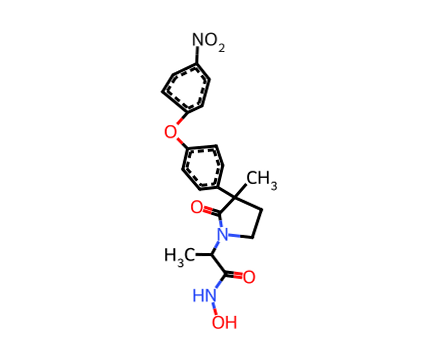 CC(C(=O)NO)N1CCC(C)(c2ccc(Oc3ccc([N+](=O)[O-])cc3)cc2)C1=O